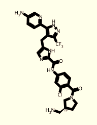 NC[C@@H]1CCN(C(=O)c2ccc(NC(=O)c3ncc(Cc4c(C(F)(F)F)n[nH]c4-c4ccc(N)cn4)[nH]3)cc2Cl)C1